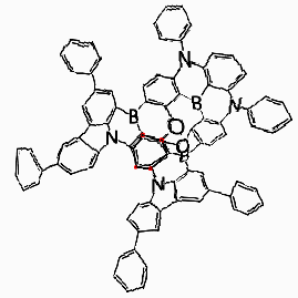 c1ccc(-c2ccc3c(c2)c2cc(-c4ccccc4)cc4c2n3-c2cccc3c2B4c2ccc4c(c2O3)B2c3c(cccc3N(c3ccccc3)c3ccc5c(c32)Oc2cccc3c2B5c2cc(-c5ccccc5)cc5c6cc(-c7ccccc7)ccc6n-3c25)N4c2ccccc2)cc1